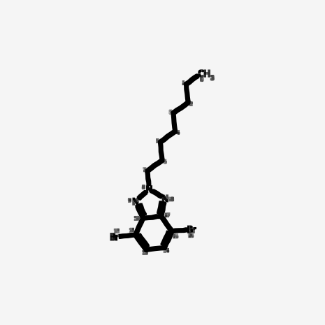 CCCCCCCCn1nc2c(Br)ccc(Br)c2n1